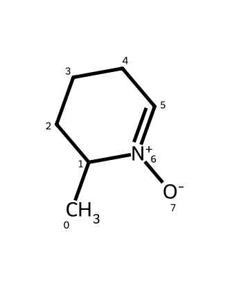 CC1CCCC=[N+]1[O-]